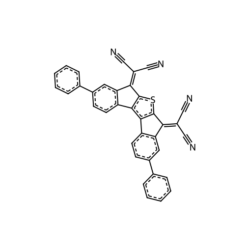 N#CC(C#N)=C1c2cc(-c3ccccc3)ccc2-c2c1sc1c2-c2ccc(-c3ccccc3)cc2C1=C(C#N)C#N